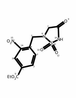 CCOC(=O)c1ccc(CN2CC(=O)NS2(=O)=O)c([N+](=O)[O-])c1